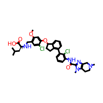 COc1cc(OC2CCc3c(-c4cccc(NC(=O)c5nc6c(n5C)CCN(C)C6)c4Cl)cccc32)c(Cl)cc1CN[C@@H](CC(C)C)C(=O)O